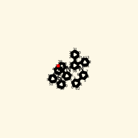 c1ccc(-c2cccc(-n3c4ccccc4c4c(-c5ccccc5)cc(-n5c6ccccc6c6c([Si](c7ccccc7)(c7ccccc7)c7ccccc7)cccc65)cc43)c2)cc1